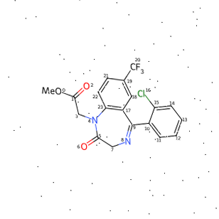 COC(=O)CN1C(=O)CN=C(c2ccccc2Cl)c2cc(C(F)(F)F)ccc21